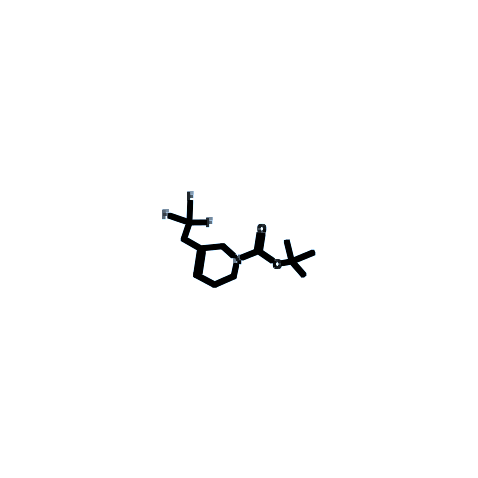 CC(C)(C)OC(=O)N1CCC=C(CC(F)(F)F)C1